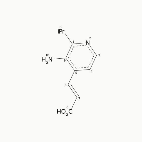 CC(C)c1nccc(/C=C/C(=O)O)c1N